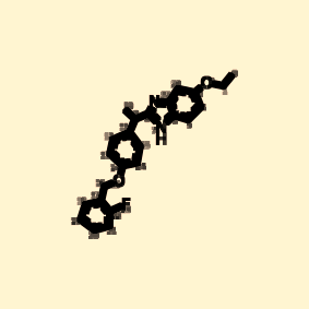 CCOc1ccc2[nH]c(C(C)c3ccc(OCc4ccccc4F)cc3)nc2c1